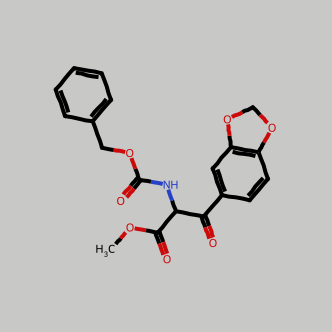 COC(=O)C(NC(=O)OCc1ccccc1)C(=O)c1ccc2c(c1)OCO2